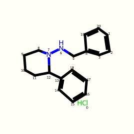 Cl.c1ccc(CNN2CCCCC2c2ccccc2)cc1